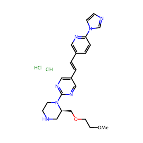 COCCOC[C@H]1CNCCN1c1ncc(/C=C/c2ccc(-n3ccnc3)nc2)cn1.Cl.Cl